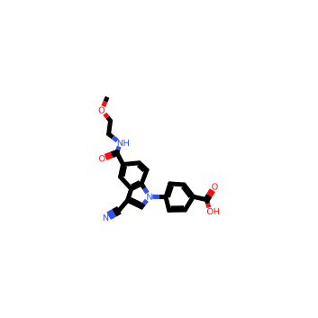 COCCNC(=O)c1ccc2c(c1)c(C#N)cn2-c1ccc(C(=O)O)cc1